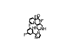 CCC12C=CC=CN1C1=C(CNC(n3ccnc3-c3cc(F)cc(F)c3)N1)N(C)C2=O